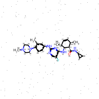 Cc1cc(Nc2ncc(F)c(N[C@@H]3[C@H](C(=O)NC4CC4)[C@H](C)C=C[C@@H]3C)n2)ccc1N1CCN(C)CC1